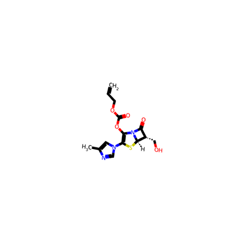 C=CCOC(=O)OC1=C(n2cnc(C)c2)S[C@@H]2[C@@H](CO)C(=O)N12